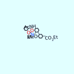 CCOC(=O)Cc1ccc(OC)c(-c2ccc(NC(C)=O)cc2CN(CC)C(=O)OCc2ccccc2)c1